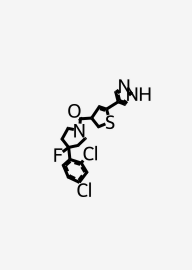 O=C(C1C=C(c2cn[nH]c2)SC1)N1CCC(F)(c2ccc(Cl)cc2Cl)CC1